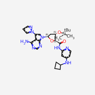 CC(C)(C)[Si](C)(C)O[C@H]1C[C@H](n2cc(-n3cccn3)c3c(N)ncnc32)O[C@@H]1C(=O)Nc1cc(NC2CCC2)ccn1